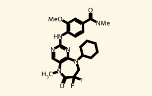 CNC(=O)c1ccc(Nc2ncc3c(n2)N(C2CCCCC2)CC(F)(F)C(=O)N3C)c(OC)c1